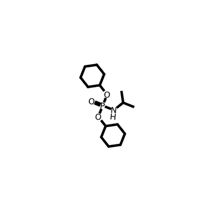 CC(C)NP(=O)(OC1CCCCC1)OC1CCCCC1